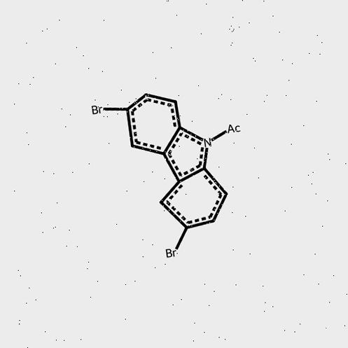 CC(=O)n1c2ccc(Br)cc2c2cc(Br)ccc21